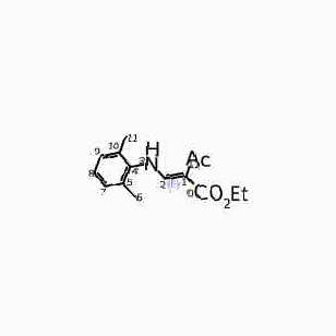 CCOC(=O)/C(=C/Nc1c(C)cccc1C)C(C)=O